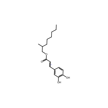 CCCCCCC(C)COC(=O)/C=C/c1ccc(O)c(O)c1